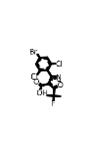 CC(C)(F)c1onc(-c2c(Cl)cc(Br)cc2Cl)c1C(=O)O